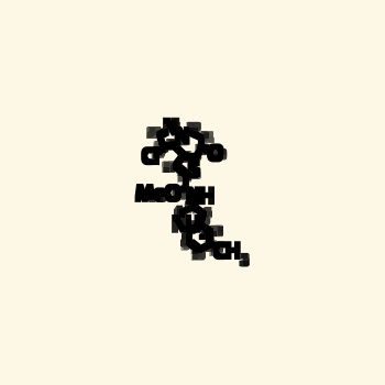 COC(N[C@H](CN)Cc1cccc(C)c1)c1cc2c(s1)C(=O)CCn1ncc(Cl)c1-2